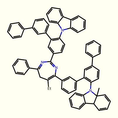 CCC1=C(c2cccc(-c3cc(-c4ccccc4)ccc3N3c4ccccc4C4C=CC=CC43C)c2)N=C(c2ccc(-n3c4ccccc4c4ccccc43)c(-c3cccc(-c4ccccc4)c3)c2)N=C(c2ccccc2)C1